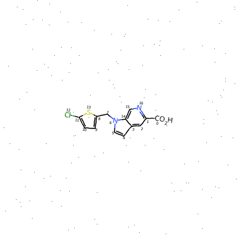 O=C(O)c1cc2ccn(Cc3ccc(Cl)s3)c2cn1